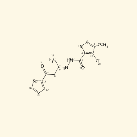 Cc1csc(C(=O)N/N=C(/CC(=O)c2cccs2)C(F)(F)F)c1Cl